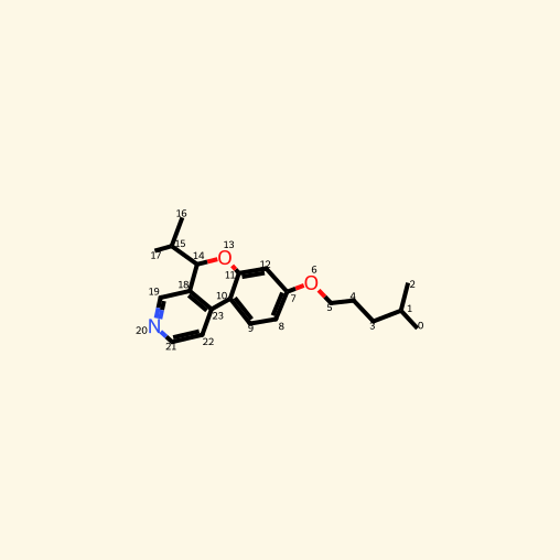 CC(C)CCCOc1ccc2c(c1)OC(C(C)C)c1cnccc1-2